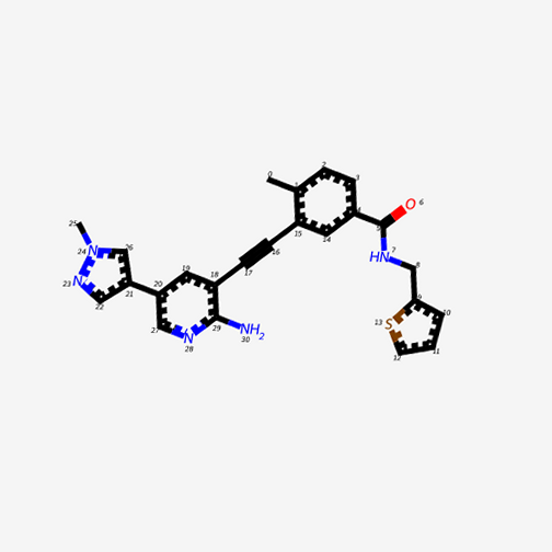 Cc1ccc(C(=O)NCc2cccs2)cc1C#Cc1cc(-c2cnn(C)c2)cnc1N